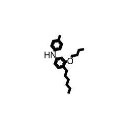 CCCCCCc1ccc(Nc2ccc(C)cc2)cc1OCCCC